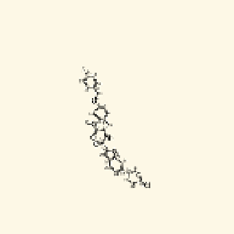 COC(=O)[C@H](Cc1ccc(OCc2ccc(F)cc2)cc1)NC(=O)c1cc2ccc(-c3ccc(Cl)cc3)cc2o1